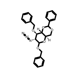 [N-]=[N+]=N[C@H]1C(OCc2ccccc2)O[C@@H]2COC(c3ccccc3)O[C@H]2[C@@H]1OCc1ccccc1